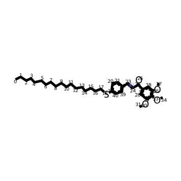 CCCCCCCCCCCCCCCCCCSc1ccc(/C=C/C(=O)c2cc(OC)c(OC)c(OC)c2)cc1